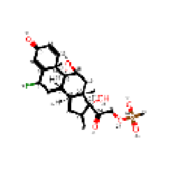 CC1C[C@H]2[C@@H]3CC(F)C4=CC(=O)C=C[C@]4(C)[C@]34OC4C[C@]2(C)[C@@]1(O)C(=O)COS(C)(=O)=O